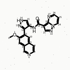 COc1cc2cnccc2cc1-c1n[nH]cc1NC(=O)c1cnn2cccnc12